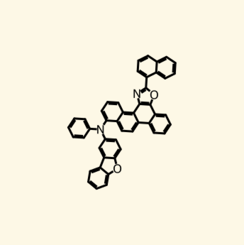 c1ccc(N(c2ccc3oc4ccccc4c3c2)c2cccc3c2ccc2c4ccccc4c4oc(-c5cccc6ccccc56)nc4c32)cc1